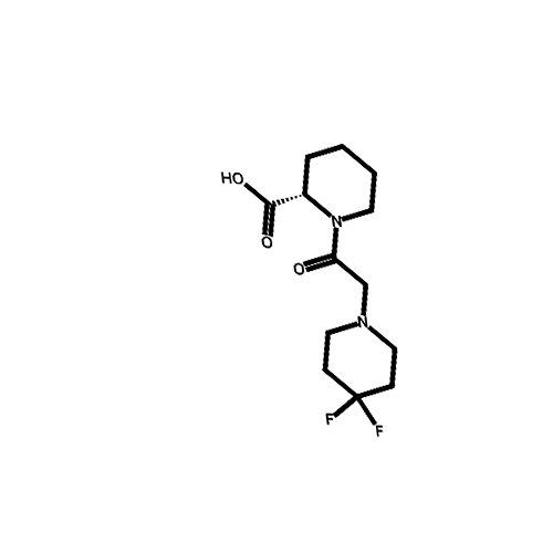 O=C(O)[C@@H]1CCCCN1C(=O)CN1CCC(F)(F)CC1